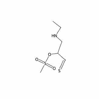 CCNCC(C=S)OS(C)(=O)=O